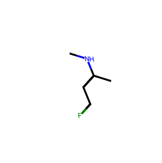 CNC(C)CCF